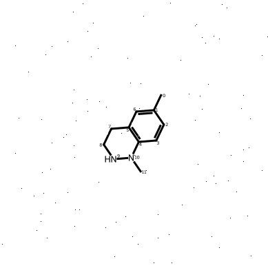 Cc1ccc2c(c1)CCNN2C